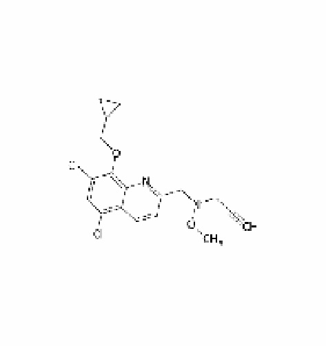 C#CCN(Cc1ccc2c(Cl)cc(Cl)c(OCC3CC3)c2n1)OC